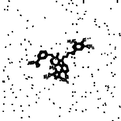 Cc1cc(OCCCc2c3n(c4c(-c5c(C)nn(C)c5C)c(Cl)ccc24)CCCN(Cc2cccc(C(=O)O)c2)C3=O)cc(C)c1Cl